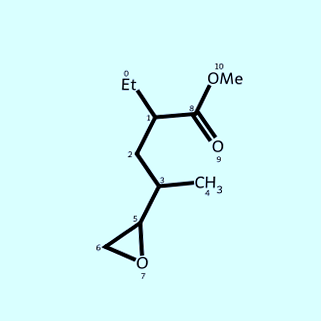 CCC(CC(C)C1CO1)C(=O)OC